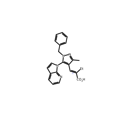 CC/C(=C\c1c(C)nn(Cc2ccccc2)c1-n1ccc2cccnc21)C(=O)O